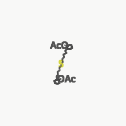 CC(=O)Oc1ccccc1CCCCCCSCCCCCCc1ccccc1OC(C)=O